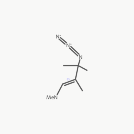 CN/C=C(\C)C(C)(C)N=[N+]=[N-]